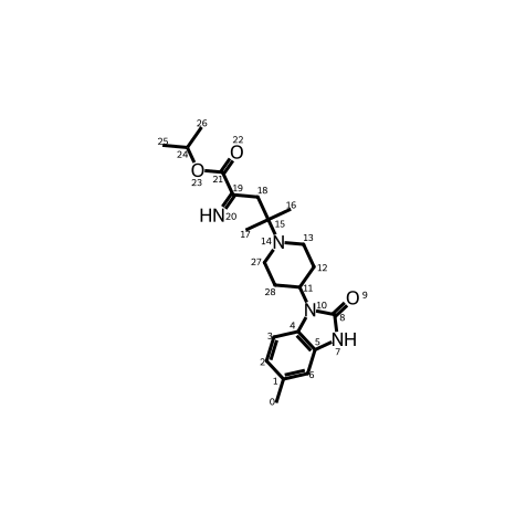 Cc1ccc2c(c1)[nH]c(=O)n2C1CCN(C(C)(C)CC(=N)C(=O)OC(C)C)CC1